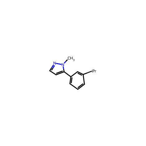 CC(C)c1cccc(-c2ccnn2C)c1